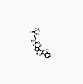 CC(=O)NCCNC(=O)Oc1n[nH]c(NC(=O)c2ccccc2Cl)c1Br